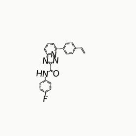 C=Cc1ccc(-c2cccc3nc(C(=O)Nc4ccc(F)cc4)nn23)cc1